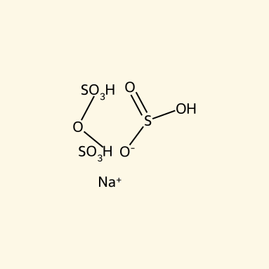 O=S(=O)(O)OS(=O)(=O)O.O=S([O-])O.[Na+]